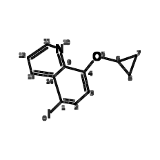 Ic1ccc(OC2CC2)c2ncccc12